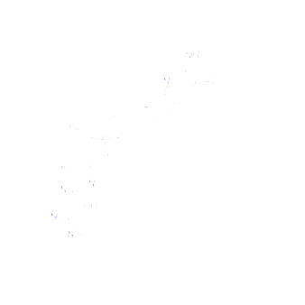 Nc1nc2cc(C3CC4(CS3)CC(n3ccc5c(N)ncnc53)C(O)C4O)ccc2cc1Br